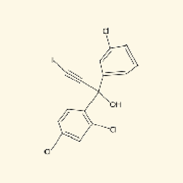 OC(C#CI)(c1cccc(Cl)c1)c1ccc(Cl)cc1Cl